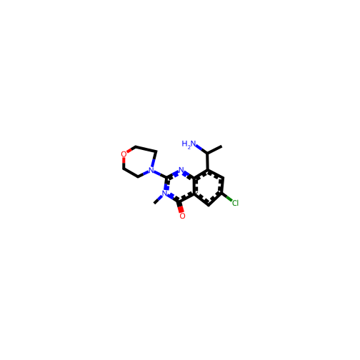 CC(N)c1cc(Cl)cc2c(=O)n(C)c(N3CCOCC3)nc12